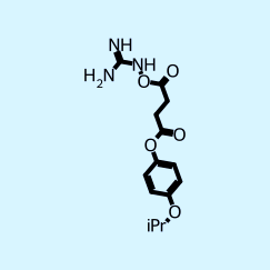 CC(C)Oc1ccc(OC(=O)CCC(=O)ONC(=N)N)cc1